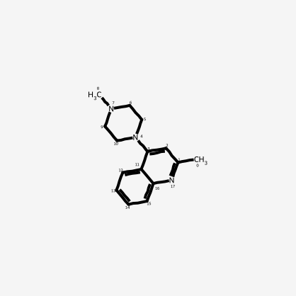 Cc1cc(N2CCN(C)CC2)c2ccccc2n1